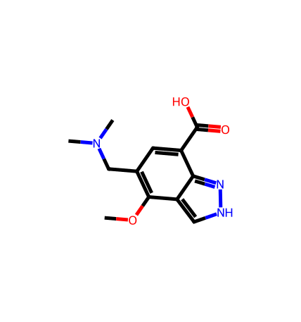 COc1c(CN(C)C)cc(C(=O)O)c2n[nH]cc12